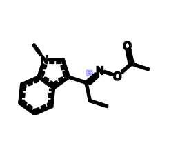 CC/C(=N\OC(C)=O)c1cn(C)c2ccccc12